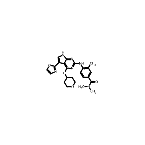 Cc1cc(C(=O)N(C)C)ccc1Nc1nc(OC2CCOCC2)c2c(-c3ncco3)c[nH]c2n1